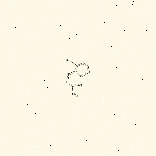 CC(C)c1cccc2nc(N)cnc12